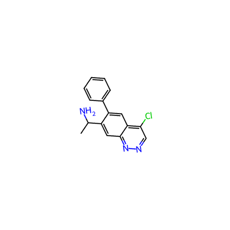 CC(N)c1cc2nncc(Cl)c2cc1-c1ccccc1